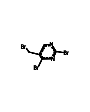 BrCc1cnc(Br)nc1Br